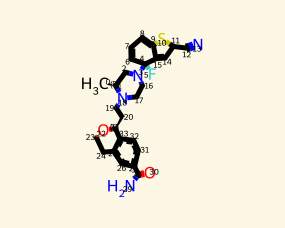 C[C@@H]1CN(C2(F)C=CC=C3SC(C#N)C=C32)CCN1CC[C@@H]1OCCc2cc(C(N)=O)ccc21